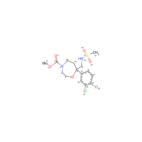 CC(C)(C)OC(=O)N1CCOC(CNS(C)(=O)=O)(c2ccc(Cl)c(Cl)c2)CC1